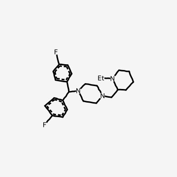 CCN1CCCCC1CN1CCN(C(c2ccc(F)cc2)c2ccc(F)cc2)CC1